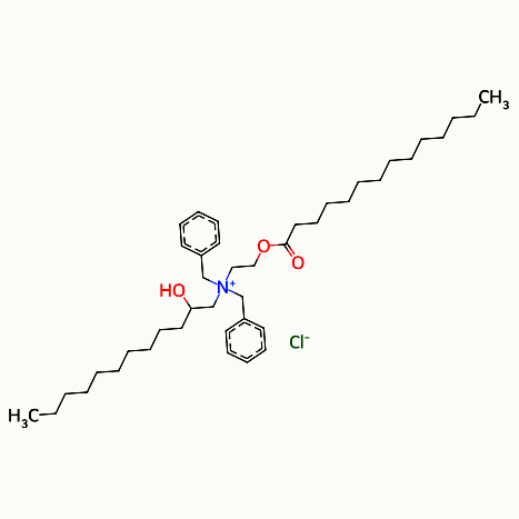 CCCCCCCCCCCCCC(=O)OCC[N+](Cc1ccccc1)(Cc1ccccc1)CC(O)CCCCCCCCCC.[Cl-]